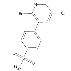 CS(=O)(=O)c1ccc(-c2cc(Cl)cnc2Br)cc1